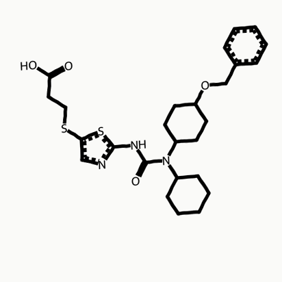 O=C(O)CCSc1cnc(NC(=O)N(C2CCCCC2)C2CCC(OCc3ccccc3)CC2)s1